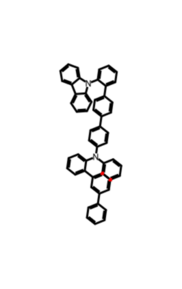 c1ccc(-c2cccc(-c3ccccc3N(c3ccccc3)c3ccc(-c4ccc(-c5ccccc5-n5c6ccccc6c6ccccc65)cc4)cc3)c2)cc1